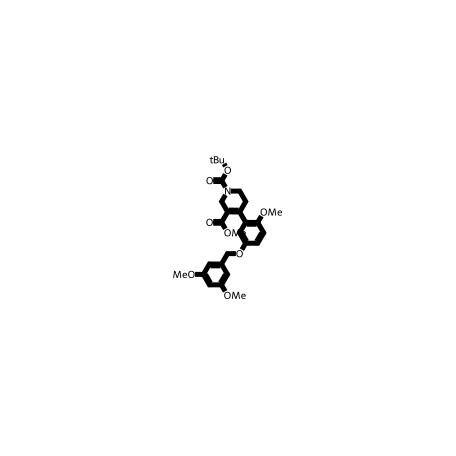 COC(=O)C1=C(c2cc(OCc3cc(OC)cc(OC)c3)ccc2OC)CCN(C(=O)OC(C)(C)C)C1